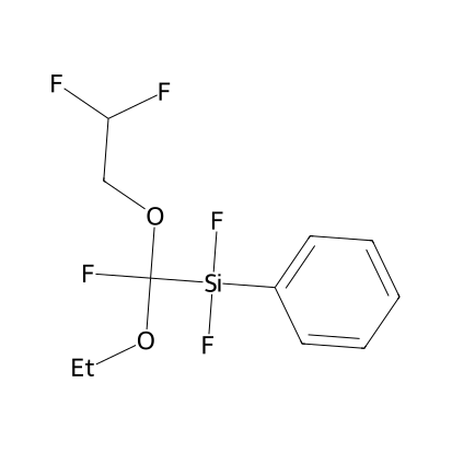 CCOC(F)(OCC(F)F)[Si](F)(F)c1ccccc1